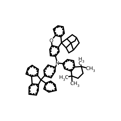 CC1(C)CCC(C)(C)c2cc(N(c3ccc(C4(c5ccccc5)c5ccccc5-c5ccccc54)cc3)c3ccc4c(c3)C3(c5ccccc5O4)C4CC5CC6CC3C64C5)ccc21